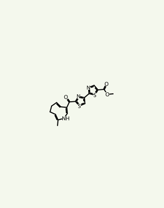 COC(=O)c1cnc(-c2csc(C(=O)C3=C/N/C(C)=C/CC\C=C\3)n2)s1